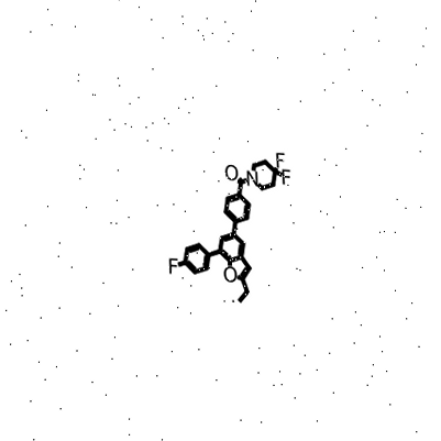 [CH2]Cc1cc2cc(-c3ccc(C(=O)N4CCC(F)(F)CC4)cc3)cc(-c3ccc(F)cc3)c2o1